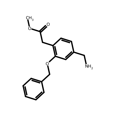 COC(=O)Cc1ccc(CN)cc1OCc1ccccc1